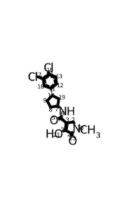 CN1CC(C(=O)NC2CC[C@H](c3ccc(Cl)c(Cl)c3)C2)=C(O)C1=O